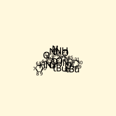 CC(C)(C)ON[C@@H](Cc1ccccc1)C(=O)C(=O)c1nn[nH]c1C(=O)C(=O)[C@H](Cc1ccccc1)NOC(C)(C)C